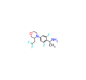 CC(N)c1c(F)cc(N2CCOCC2CC(F)F)cc1F